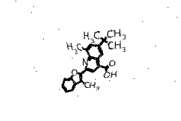 Cc1c(-c2cc(C(=O)O)c3cc(C(C)(C)C)cc(C)c3n2)oc2ccccc12